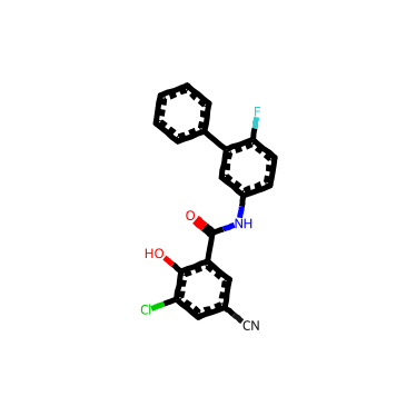 N#Cc1cc(Cl)c(O)c(C(=O)Nc2ccc(F)c(-c3ccccc3)c2)c1